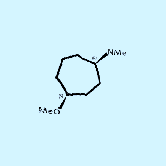 CN[C@@H]1CCC[C@H](OC)CC1